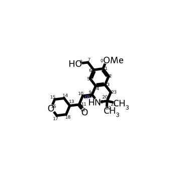 COc1cc2c(cc1CO)/C(=C/C(=O)C1CCOCC1)NC(C)(C)C2